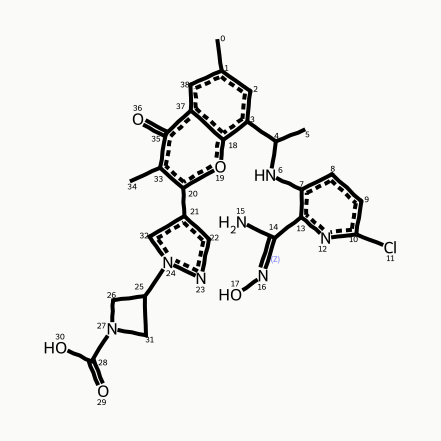 Cc1cc(C(C)Nc2ccc(Cl)nc2/C(N)=N/O)c2oc(-c3cnn(C4CN(C(=O)O)C4)c3)c(C)c(=O)c2c1